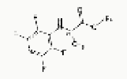 C[C@H](Nc1c(F)c(F)nc(F)c1F)C(=O)OC(C)(C)C